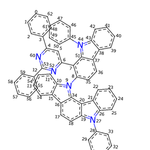 c1ccc(-c2cc(-c3c(-n4c5ccccc5c5ccc6c(c7ccccc7n6-c6ccccc6)c54)ccc4c5ccccc5n(-c5ccccc5)c34)nc(-c3ccccc3)n2)cc1